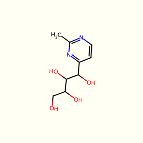 Cc1nccc(C(O)C(O)C(O)CO)n1